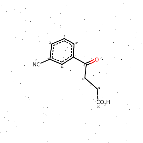 N#Cc1cccc(C(=O)CCC(=O)O)c1